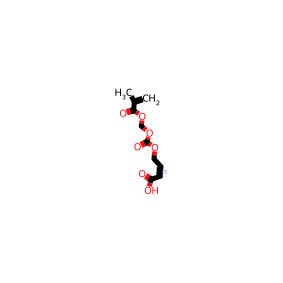 C=C(C)C(=O)OCOC(=O)OC/C=C\C(=O)O